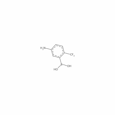 Nc1ccc(C(F)(F)F)c(B(O)O)c1